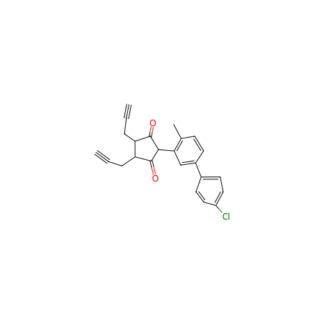 C#CCC1C(=O)C(c2cc(-c3ccc(Cl)cc3)ccc2C)C(=O)C1CC#C